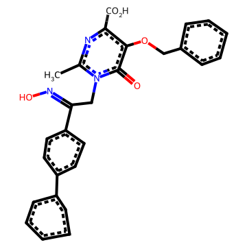 Cc1nc(C(=O)O)c(OCc2ccccc2)c(=O)n1CC(=NO)c1ccc(-c2ccccc2)cc1